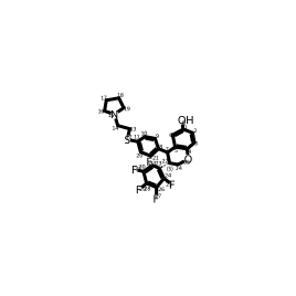 Oc1ccc2c(c1)C(c1ccc(SCCN3CCCC3)cc1)[C@@H](c1c(F)c(F)c(F)c(F)c1F)CO2